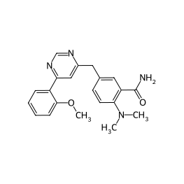 COc1ccccc1-c1cc(Cc2ccc(N(C)C)c(C(N)=O)c2)ncn1